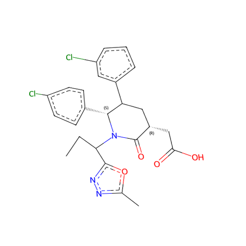 CCC(c1nnc(C)o1)N1C(=O)[C@@H](CC(=O)O)CC(c2cccc(Cl)c2)[C@H]1c1ccc(Cl)cc1